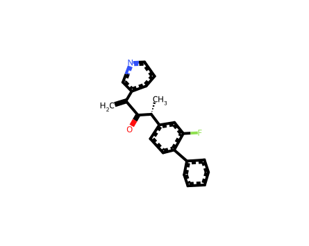 C=C(C(=O)[C@H](C)c1ccc(-c2ccccc2)c(F)c1)c1cccnc1